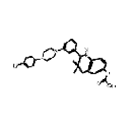 CC1(C)Cc2cc(OC(=O)O)ccc2NC1c1cccc(N2CCN(c3ccc(Cl)cc3)CC2)c1